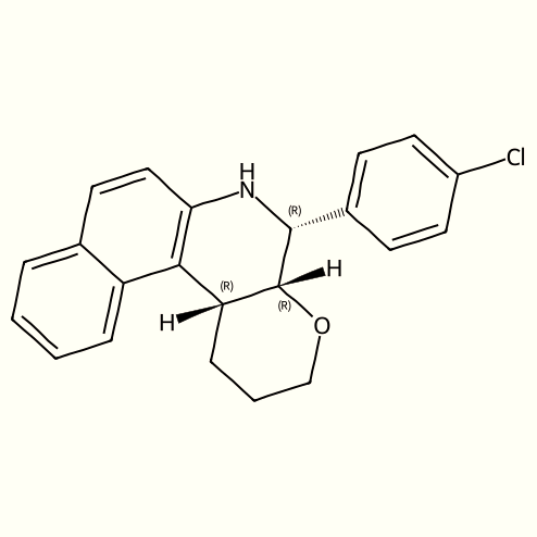 Clc1ccc([C@H]2Nc3ccc4ccccc4c3[C@H]3CCCO[C@H]32)cc1